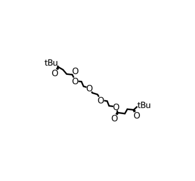 CC(C)(C)C(=O)CCC(=O)OCCOCCOCCOC(=O)CCC(=O)C(C)(C)C